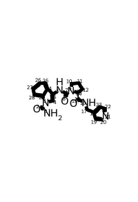 NC(=O)n1cc(NC(=O)N2CCC[C@H]2C(=O)NCc2ccncc2)c2ccccc21